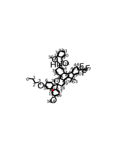 CCCCOc1ccc(C2(c3ccc(OC)cc3)C=Cc3c4c(c5cc(NC(=O)c6ccccc6OC)ccc5c3O2)-c2ccc(C(F)(F)F)cc2C4(C)C)cc1